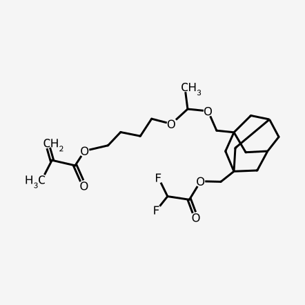 C=C(C)C(=O)OCCCCOC(C)OCC12CC3CC(CC(COC(=O)C(F)F)(C3)C1)C2